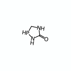 O=C1NCPN1